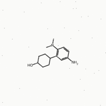 CN(C)c1ccc(N)cc1C1CCC(O)CC1